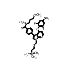 COCCCN(C)C(=O)c1ccc(-c2cn(COCC[Si](C)(C)C)c3nccc(Oc4c(F)cc(N)cc4F)c23)cc1